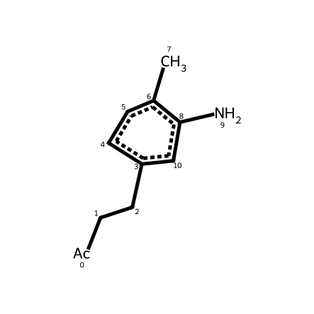 CC(=O)CCc1ccc(C)c(N)c1